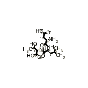 CC(C)C[C@H](NC(=O)[C@@H](N)CC(=O)O)C(=O)N[C@H](C(=O)O)[C@@H](C)O